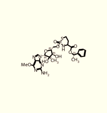 COc1nc(N)nc2c1ncn2[C@@H]1O[C@H](CO[P@@]2(=O)NC(C(=O)O[C@@H](C)c3ccccc3)CCS2)[C@@H](O)[C@@]1(C)O